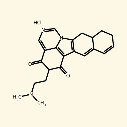 CN(C)CCC1C(=O)c2cncn3c4c(c(c23)C1=O)C=C1C=CCCC1C4.Cl